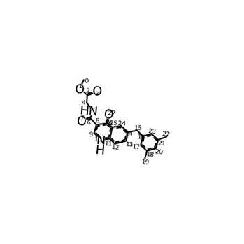 COC(=O)CNC(=O)c1c[nH]c2ccc(Cc3cc(C)cc(C)c3)cc2c1=O